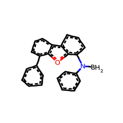 BN(c1ccccc1)c1cccc2c1oc1c(-c3ccccc3)cccc12